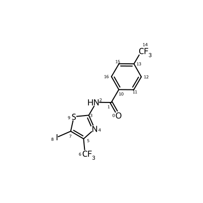 O=C(Nc1nc(C(F)(F)F)c(I)s1)c1ccc(C(F)(F)F)cc1